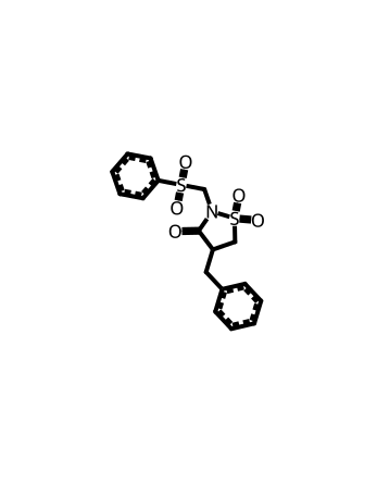 O=C1C(Cc2ccccc2)CS(=O)(=O)N1CS(=O)(=O)c1ccccc1